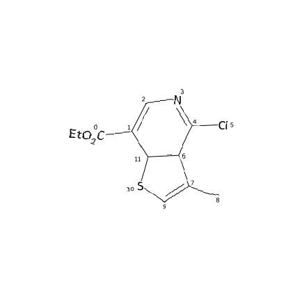 CCOC(=O)C1=CN=C(Cl)C2C(C)=CSC12